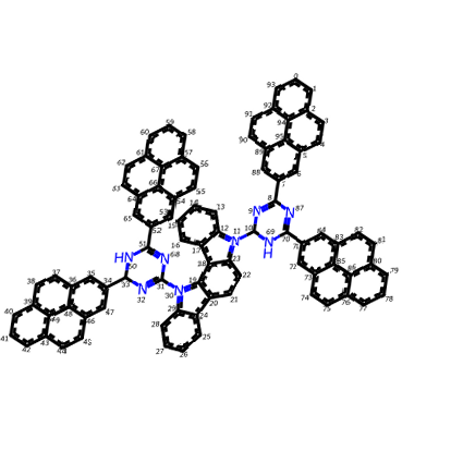 c1cc2ccc3cc(C4=NC(n5c6ccccc6c6c7c(ccc65)c5ccccc5n7C5=NC(c6cc7ccc8cccc9ccc(c6)c7c89)NC(c6cc7ccc8cccc9ccc(c6)c7c89)=N5)NC(c5cc6ccc7cccc8ccc(c5)c6c78)=N4)cc4ccc(c1)c2c34